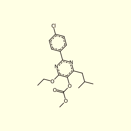 CCOc1nc(-c2ccc(Cl)cc2)nc(CC(C)C)c1OC(=O)OC